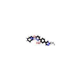 Cn1cc(-c2ccc(-c3ccc(OC4CC5CCCC(C4)N5)nn3)c(O)c2)cn1